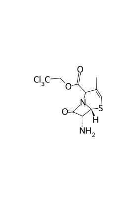 CC1=CS[C@@H]2[C@H](N)C(=O)N2C1C(=O)OCC(Cl)(Cl)Cl